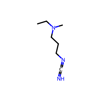 CCN(C)CCCN=C=N